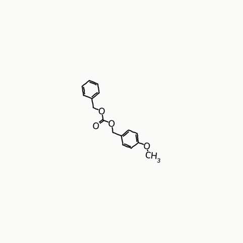 COc1ccc(COC(=O)OCc2ccccc2)cc1